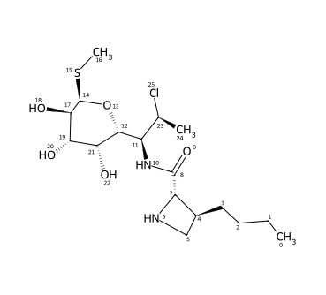 CCCC[C@H]1CN[C@@H]1C(=O)N[C@@H]([C@H]1O[C@H](SC)[C@H](O)[C@@H](O)[C@H]1O)[C@H](C)Cl